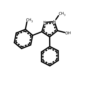 Cc1ccccc1-c1nn(C)c(O)c1-c1ccccc1